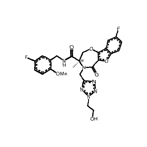 COc1ccc(F)cc1CNC(=O)[C@@]1(C)COc2c(oc3ccc(F)cc23)C(=O)N1Cc1nnn(CCO)n1